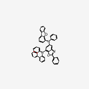 c1ccc(-c2nc3cc(N(c4ccccc4)c4cccc5c4oc4ccccc45)cc(N(c4ccccc4)c4ccccc4-c4ccccc4)c3o2)cc1